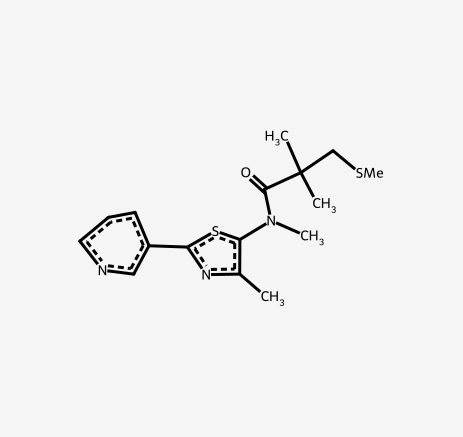 CSCC(C)(C)C(=O)N(C)c1sc(-c2cccnc2)nc1C